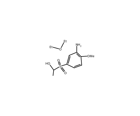 CCOCC.COc1ccc(S(=O)(=O)C(C)O)cc1N